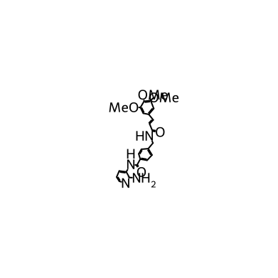 COc1cc(/C=C/C(=O)NCc2ccc(C(=O)Nc3cccnc3N)cc2)cc(OC)c1OC